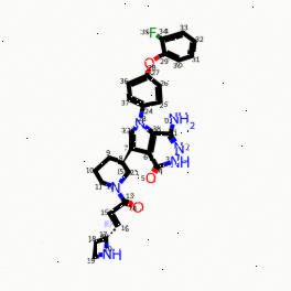 Nc1n[nH]c(=O)c2c([C@@H]3CCCN(C(=O)/C=C/[C@H]4CCN4)C3)cn(-c3ccc(Oc4ccccc4F)cc3)c12